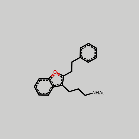 CC(=O)NCCCc1c(CCc2ccccc2)oc2ccccc12